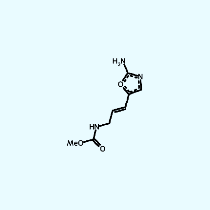 COC(=O)NCC=Cc1cnc(N)o1